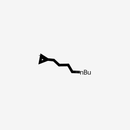 CCCCCCCCC1=[C]C1